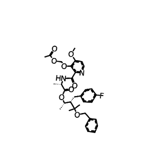 COc1ccnc(C(=O)N[C@@H](C)C(=O)O[C@@H](C)[C@H](Cc2ccc(F)cc2)C(C)(C)OCc2ccccc2)c1OCOC(C)=O